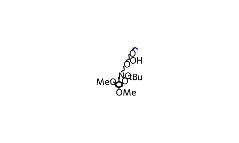 C/C=C\OCC(O)COCCCN(Cc1ccc(OC)cc1OC)C(=O)OC(C)(C)C